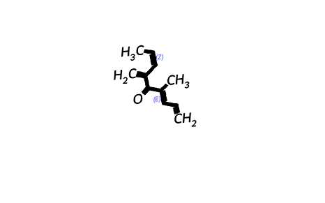 C=C/C=C(\C)C(=O)C(=C)/C=C\C